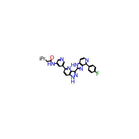 CC(C)CC(=O)Nc1cncc(-c2ccc3[nH]nc(-c4nc5c(-c6ccc(F)cc6)nccc5[nH]4)c3n2)c1